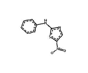 O=[N+]([O-])c1cnc(Nc2ccccc2)s1